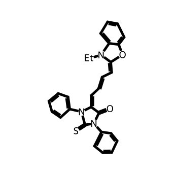 CCN1C(=CC=CC=C2C(=O)N(c3ccccc3)C(=S)N2c2ccccc2)Oc2ccccc21